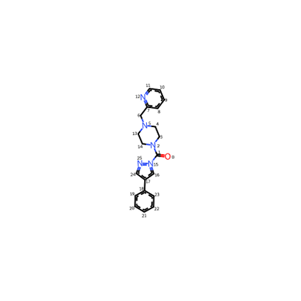 O=C(N1CCN(Cc2ccccn2)CC1)n1cc(-c2ccccc2)cn1